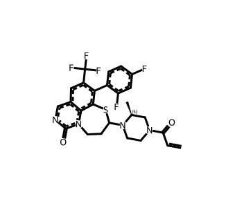 C=CC(=O)N1CCN(C2CCn3c(=O)ncc4cc(C(F)(F)F)c(-c5ccc(F)cc5F)c(c43)S2)[C@@H](C)C1